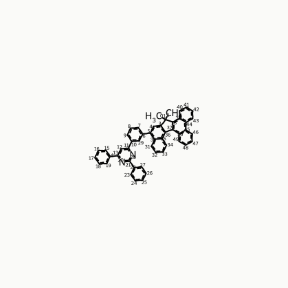 CC1(C)c2cc(-c3cccc(-c4cc(-c5ccccc5)nc(-c5ccccc5)n4)c3)c3ccccc3c2-c2c1c1ccccc1c1ccccc21